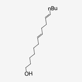 CCCC/C=C/CC/C=C/CCCCCCO